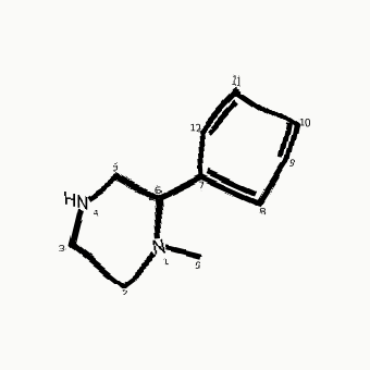 CN1CCNC[C]1c1ccccc1